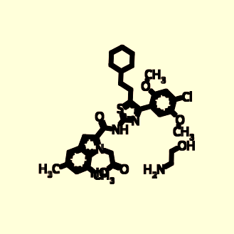 COc1cc(-c2nc(NC(=O)c3cc4cc(C)cc(C)c4n3CC(=O)O)sc2CCC2CCCCC2)c(OC)cc1Cl.NCCO